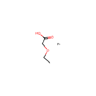 CCOCC(=O)O.[Pr]